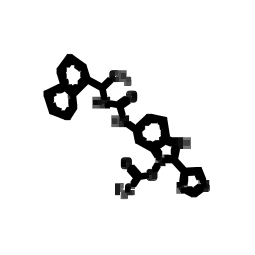 CC(NC(=O)Nc1ccc2[nH]c(-c3cscn3)[n+](OC(=O)C(F)(F)F)c2c1)c1cccc2ccccc12